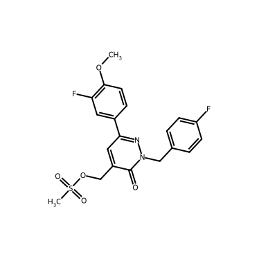 COc1ccc(-c2cc(COS(C)(=O)=O)c(=O)n(Cc3ccc(F)cc3)n2)cc1F